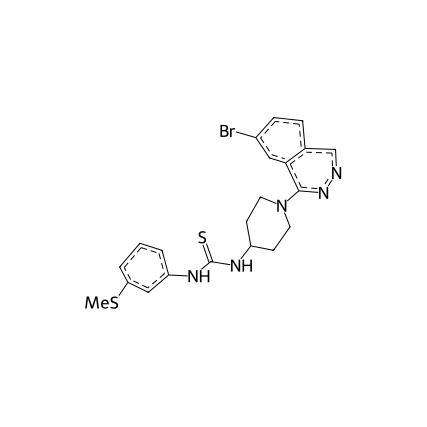 CSc1cccc(NC(=S)NC2CCN(c3nncc4ccc(Br)cc34)CC2)c1